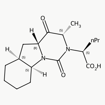 CCC[C@@H](C(=O)O)N1C(=O)N2[C@H](C[C@@H]3CCCC[C@@H]32)C(=O)[C@@H]1C